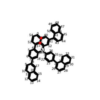 c1ccc(-c2ccc(-c3ccc4ccccc4c3)cc2N(c2ccc(-c3cccc4ccccc34)cc2)c2cccc(-c3cccc4ccccc34)c2)cc1